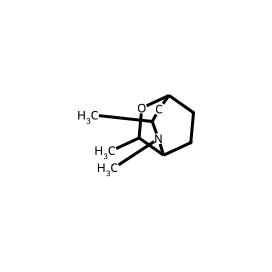 CC1OC2CCC1N(C)C(C)C2